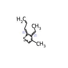 C=C/C=c1/scc(C)/c1=C/C